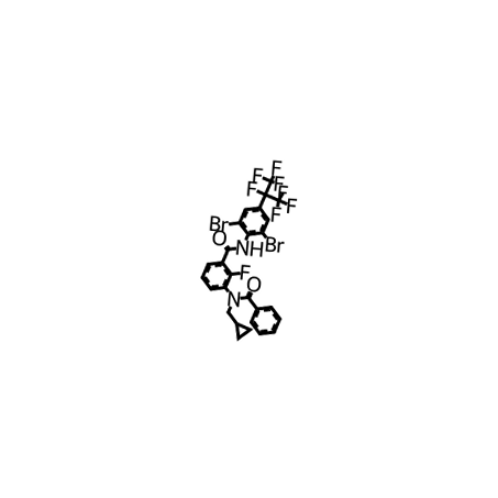 O=C(Nc1c(Br)cc(C(F)(C(F)(F)F)C(F)(F)F)cc1Br)c1cccc(N(CC2CC2)C(=O)c2ccccc2)c1F